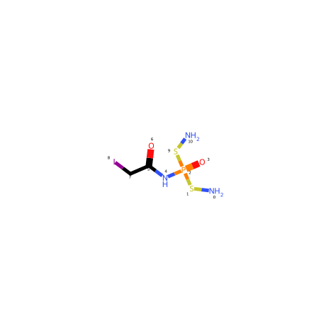 NSP(=O)(NC(=O)CI)SN